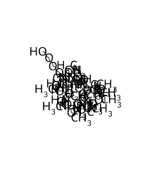 CCCN(CCNP(=O)(NC)OC[C@@H]1CN(P(=O)(NC)OC[C@@H]2CN(P(=O)(NC)OC[C@@H]3CN(P(=O)(OC[C@H](CNP(=O)(OC[C@H](CNP(=O)(NC)OC[C@@H]4CN(CC)C[C@H](n5ccc(N)nc5=O)O4)O[C@@H](C)CC)N(C)C)O[C@@H](C)CC)N(C)C)C[C@H](C)O3)C[C@H](C)O2)C[C@H](C)O1)C(=O)OCCOCCOCCO